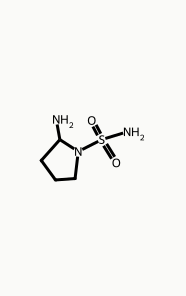 NC1CCCN1S(N)(=O)=O